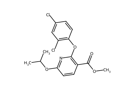 COC(=O)c1ccc(OC(C)C)nc1Oc1ccc(Cl)cc1Cl